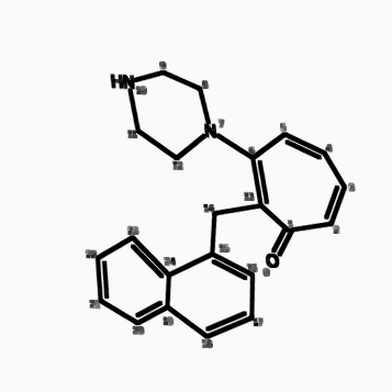 O=c1ccccc(N2CCNCC2)c1Cc1cccc2ccccc12